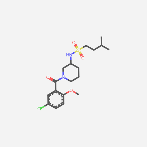 COc1ccc(Cl)cc1C(=O)N1CCCC(NS(=O)(=O)CCC(C)C)C1